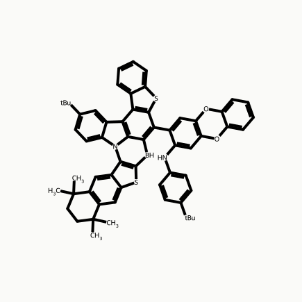 CC(C)(C)c1ccc(Nc2cc3c(cc2-c2c4c5c(c6cc(C(C)(C)C)ccc6n5-c5c(sc6cc7c(cc56)C(C)(C)CCC7(C)C)B4)c4c2sc2ccccc24)Oc2ccccc2O3)cc1